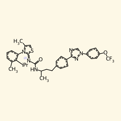 Cc1cccc(-n2c(C)cs/c2=N\C(=O)NC(C)CCc2ccc(-c3ncn(-c4ccc(OC(F)(F)F)cc4)n3)cc2)c1C(C)C